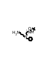 C[C@@H](CCN(CCCCN)Cc1ccccc1)NC(=O)OC(C)(C)C